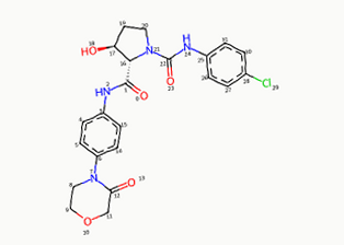 O=C(Nc1ccc(N2CCOCC2=O)cc1)[C@@H]1[C@@H](O)CCN1C(=O)Nc1ccc(Cl)cc1